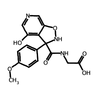 COc1ccc(C2(C(=O)NCC(=O)O)NOc3cncc(O)c32)cc1